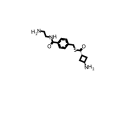 NCCNC(=O)c1ccc(CSC(=O)[C@H]2C[C@H](N)C2)cc1